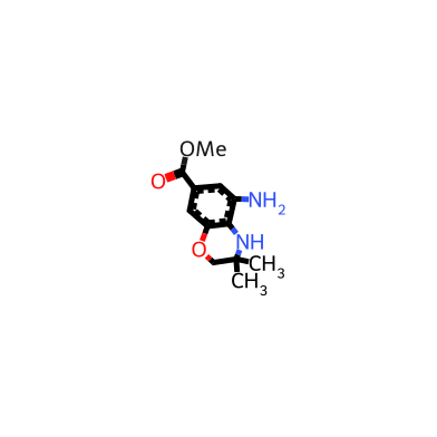 COC(=O)c1cc(N)c2c(c1)OCC(C)(C)N2